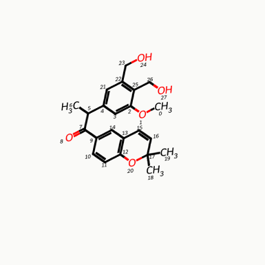 COc1cc(C(C)C(=O)c2ccc3c(c2)C=CC(C)(C)O3)cc(CO)c1CO